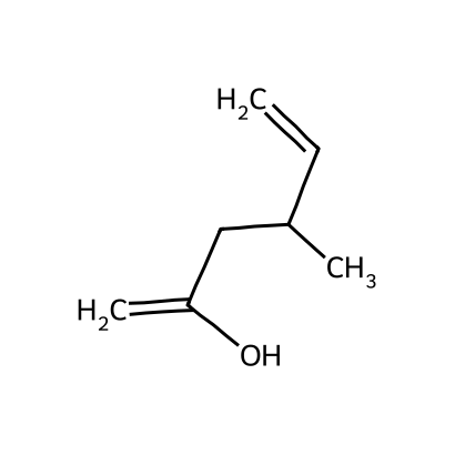 C=CC(C)CC(=C)O